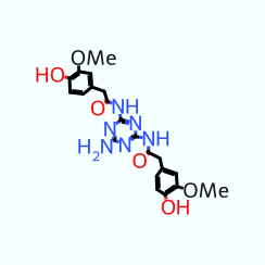 COc1cc(CC(=O)Nc2nc(N)nc(NC(=O)Cc3ccc(O)c(OC)c3)n2)ccc1O